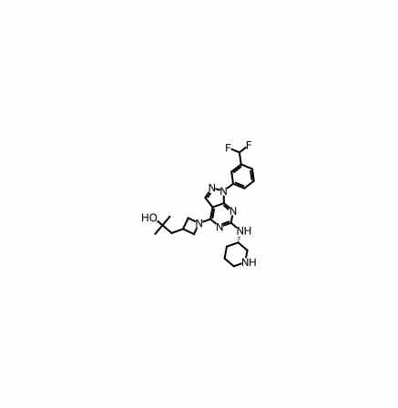 CC(C)(O)CC1CN(c2nc(N[C@H]3CCCNC3)nc3c2cnn3-c2cccc(C(F)F)c2)C1